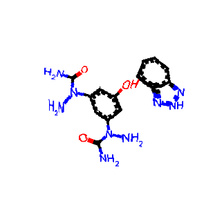 NC(=O)N(N)c1[c]c(O)cc(N(N)C(N)=O)c1.c1ccc2n[nH]nc2c1